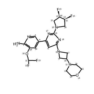 Nc1ncc(-c2cc(N3CC(N4CCOCC4)C3)nc(N3C[C@@H](F)[C@@H](F)C3)n2)cc1OC(F)F